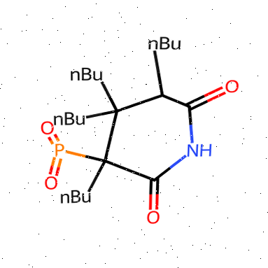 CCCCC1C(=O)NC(=O)C(CCCC)(P(=O)=O)C1(CCCC)CCCC